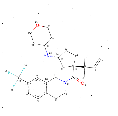 C=CC(C)(C)[C@]1(C(=O)N2CCc3ccc(C(F)(F)F)cc3C2)CC[C@@H](NC2CCOCC2)C1